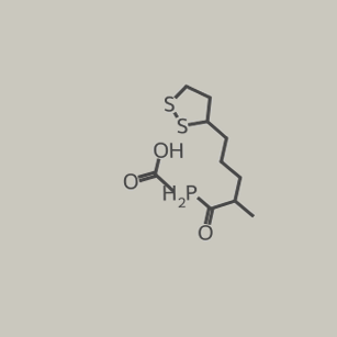 CC(=O)O.CC(CCCC1CCSS1)C(=O)P